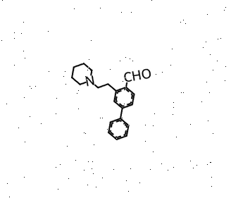 O=Cc1ccc(-c2ccccc2)cc1CCN1CCCCC1